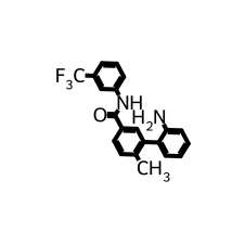 Cc1ccc(C(=O)Nc2cccc(C(F)(F)F)c2)cc1-c1ccccc1N